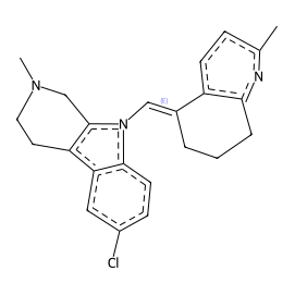 Cc1ccc2c(n1)CCC/C2=C\n1c2c(c3cc(Cl)ccc31)CCN(C)C2